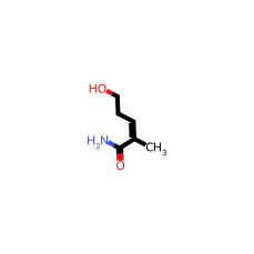 CC(=CCCO)C(N)=O